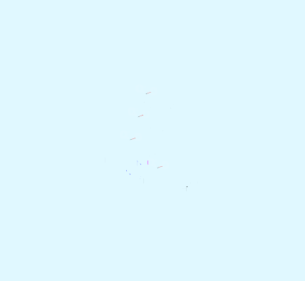 CCC(N)N.CCCCC(CC)C(=O)[O-].CCCCC(CC)C(=O)[O-].CCCCC(CC)C(=O)[O-].CCCCC(CC)C(=O)[O-].[Pt+4]